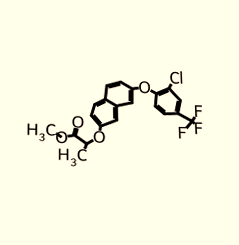 COC(=O)C(C)Oc1ccc2ccc(Oc3ccc(C(F)(F)F)cc3Cl)cc2c1